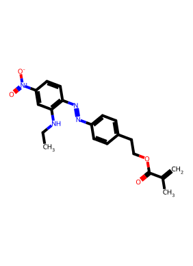 C=C(C)C(=O)OCCc1ccc(N=Nc2ccc([N+](=O)[O-])cc2NCC)cc1